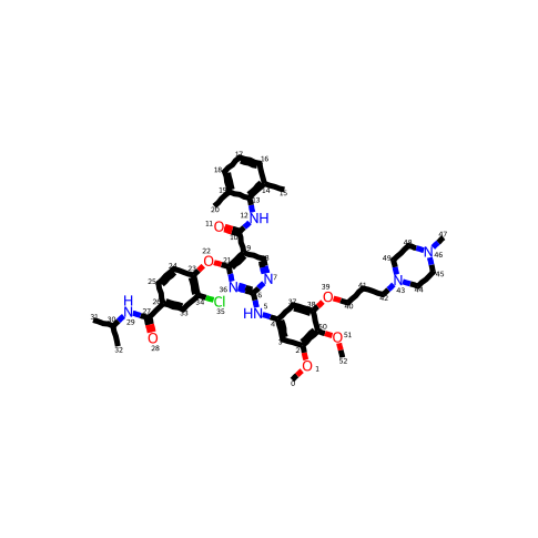 COc1cc(Nc2ncc(C(=O)Nc3c(C)cccc3C)c(Oc3ccc(C(=O)NC(C)C)cc3Cl)n2)cc(OCCCN2CCN(C)CC2)c1OC